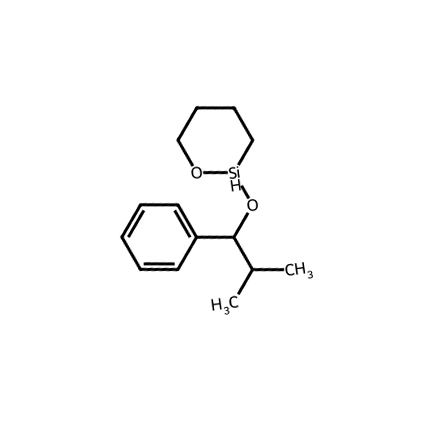 CC(C)C(O[SiH]1CCCCO1)c1ccccc1